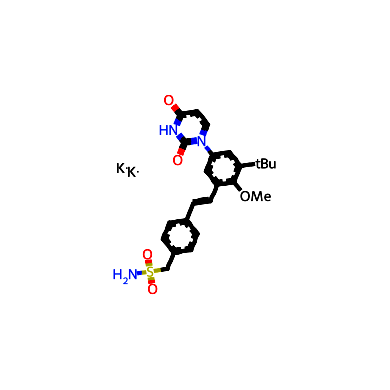 COc1c(C=Cc2ccc(CS(N)(=O)=O)cc2)cc(-n2ccc(=O)[nH]c2=O)cc1C(C)(C)C.[K].[K]